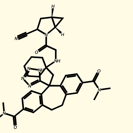 CN(C)C(=O)c1ccc2c(c1)CCc1cc(C(=O)N(C)C)ccc1C2(CC1(NCC(=O)N2C(C#N)C[C@@H]3C[C@@H]32)CCCCC1)c1nnn[nH]1